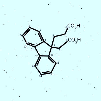 O=C(O)CCC1(CC(=O)O)c2ccccc2-c2ccccc21